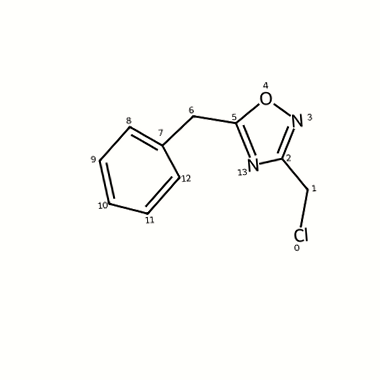 ClCc1noc(Cc2ccccc2)n1